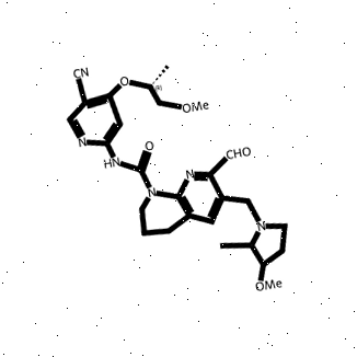 COC[C@@H](C)Oc1cc(NC(=O)N2CCCc3cc(CN4CCC(OC)C4C)c(C=O)nc32)ncc1C#N